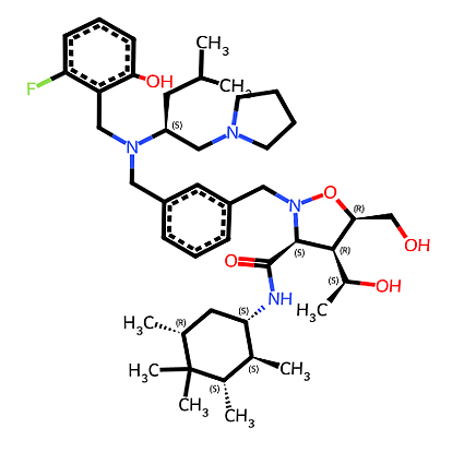 CC(C)C[C@@H](CN1CCCC1)N(Cc1cccc(CN2O[C@@H](CO)[C@@H]([C@H](C)O)[C@H]2C(=O)N[C@H]2C[C@@H](C)C(C)(C)[C@@H](C)[C@@H]2C)c1)Cc1c(O)cccc1F